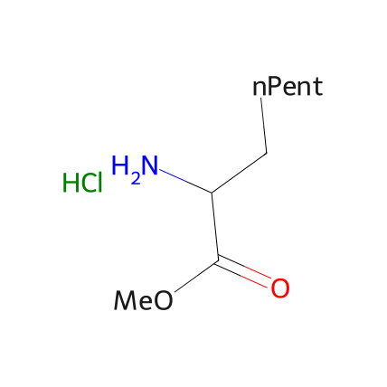 CCCCCCC(N)C(=O)OC.Cl